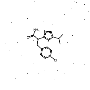 CC(C)c1cnc(N(Cc2ccc(Cl)cc2)C(N)=O)s1